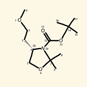 COCC[C@H]1COC(C)(C)N1C(=O)OC(C)(C)C